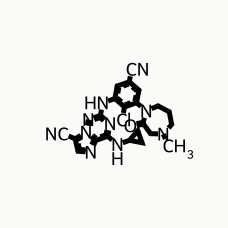 CN1CCCN(c2cc(C#N)cc(Nc3nc(NC4CC4)c4ncc(C#N)n4n3)c2Cl)C(=O)C1